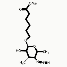 COC(=O)CCCCCO[C@H]1OC(C)[C@@H](N=[N+]=[N-])[C@H](C)C1O